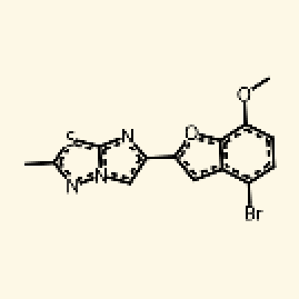 COc1ccc(Br)c2cc(-c3cn4nc(C)sc4n3)oc12